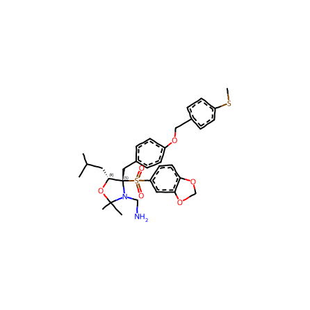 CSc1ccc(COc2ccc(C[C@]3(S(=O)(=O)c4ccc5c(c4)OCO5)[C@@H](CC(C)C)OC(C)(C)N3CN)cc2)cc1